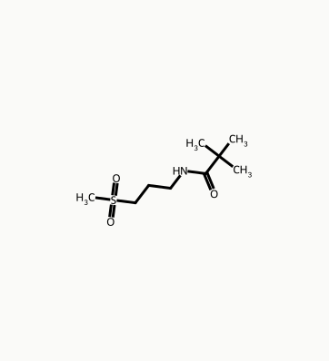 CC(C)(C)C(=O)NCCCS(C)(=O)=O